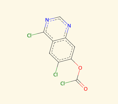 O=C(Cl)Oc1cc2ncnc(Cl)c2cc1Cl